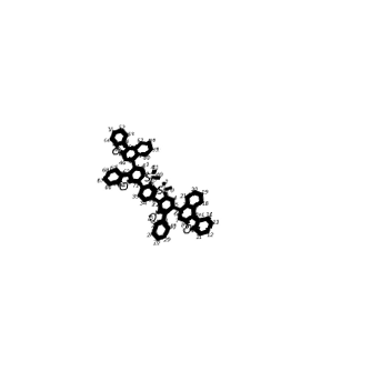 C[Si]1(C)c2cc(-c3cc4oc5ccccc5c4c4ccccc34)c3c(oc4ccccc43)c2-c2ccc3c(c21)[Si](C)(C)c1cc(-c2cc4oc5ccccc5c4c4ccccc24)c2c(oc4ccccc42)c1-3